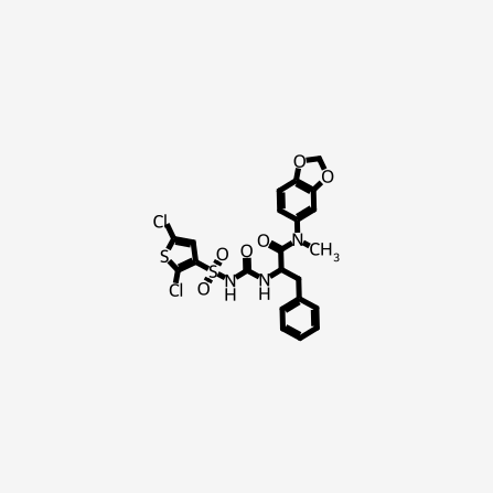 CN(C(=O)C(Cc1ccccc1)NC(=O)NS(=O)(=O)c1cc(Cl)sc1Cl)c1ccc2c(c1)OCO2